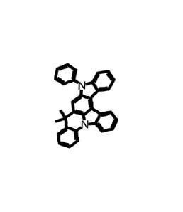 CC1(C)c2ccccc2-n2c3ccccc3c3c4c5ccccc5n(-c5ccccc5)c4cc1c32